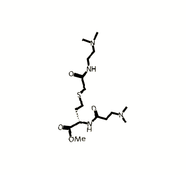 COC(=O)[C@H](CCSCC(=O)NCCN(C)C)NC(=O)CCN(C)C